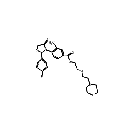 Cc1cc(C(=O)OCCOCCN2CCOCC2)ccc1N1C(=O)CSC1c1ccc(F)cc1